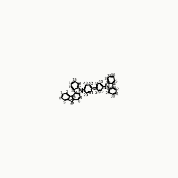 c1ccc2c(c1)sc1ccc3c(c4ccccc4n3-c3ccc(-c4ccc(-n5c6ccccc6c6ccccc65)cc4)cc3)c12